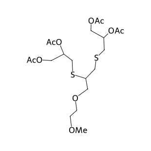 COCCOCC(CSCC(COC(C)=O)OC(C)=O)SCC(COC(C)=O)OC(C)=O